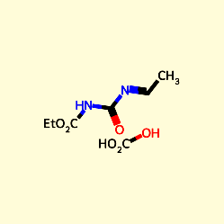 CC=NC(=O)NC(=O)OCC.O=C(O)O